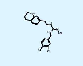 N#C/N=C(/NCCc1ccc2c(n1)NCCC2)NCc1ccc(Cl)c(Cl)c1